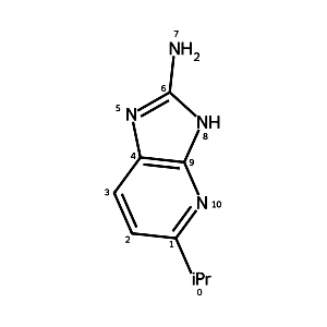 CC(C)c1ccc2nc(N)[nH]c2n1